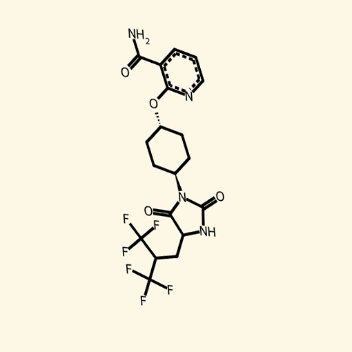 NC(=O)c1cccnc1O[C@H]1CC[C@H](N2C(=O)NC(CC(C(F)(F)F)C(F)(F)F)C2=O)CC1